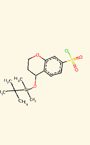 CC(C)(C)[Si](C)(C)OC1CCOc2cc(S(=O)(=O)Cl)ccc21